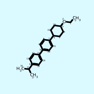 CCOC1CCC(c2ccc(-c3ccc(C(C)C)cc3)cc2)CC1